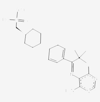 CCCCP(=O)(O)C[C@H]1CC[C@H](C2C=CC(C3=Nc4c(N)ncnc4OC3(C)C)=CC2)CC1